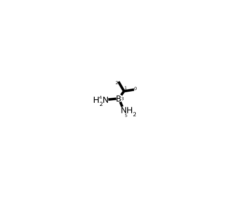 CC(C)B(N)N